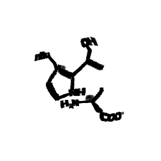 CCCC[n+]1cc[nH]c1C(C)O.C[C@H](N)C(=O)[O-]